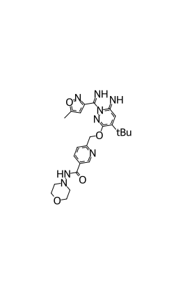 Cc1cc(C(=N)n2nc(OCc3ccc(C(=O)NN4CCOCC4)cn3)c(C(C)(C)C)cc2=N)no1